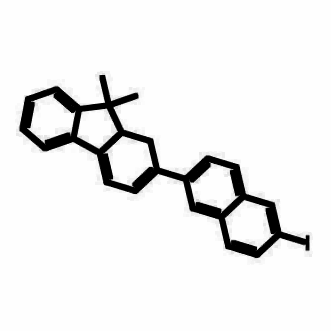 CC1(C)c2ccccc2C2=CC=C(c3ccc4cc(I)ccc4c3)CC21